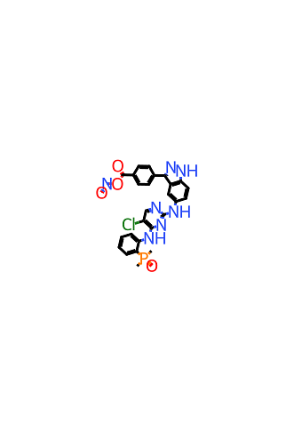 CP(C)(=O)c1ccccc1Nc1nc(Nc2ccc3[nH]nc(-c4ccc(C(=O)ON=O)cc4)c3c2)ncc1Cl